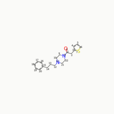 O=C(Cc1cccs1)N1CCN(CCCc2ccccc2)CC1